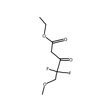 CCOC(=O)CC(=O)C(F)(F)COC